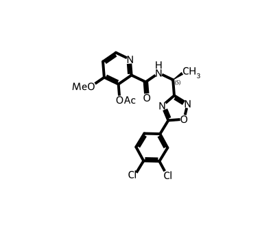 COc1ccnc(C(=O)N[C@@H](C)c2noc(-c3ccc(Cl)c(Cl)c3)n2)c1OC(C)=O